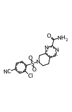 N#Cc1ccc(S(=O)(=O)N2CCc3[c]nc(C(N)=O)nc3C2)c(Cl)c1